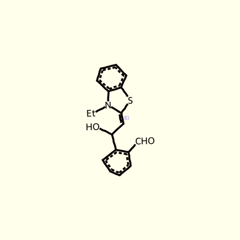 CCN1/C(=C\C(O)c2ccccc2C=O)Sc2ccccc21